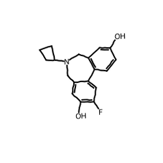 Oc1ccc2c(c1)CN(C1CCC1)Cc1cc(O)c(F)cc1-2